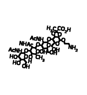 CC(=O)NC1C(OC2C(O)C(C)OC(OC3C(O)C(CO)OC(OC4C(CO)OC(OCCN)C5O[C@@](C)(C(=O)O)OC45)C3NC(C)=O)C2NC(C)=O)OC(CO)C(O)C1O